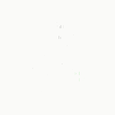 Cl.Cl.[CH3][Ti]([CH3])(=[SiH2])[c]1cccc2c1Cc1ccccc1-2